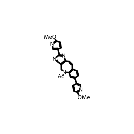 COc1ccc(-c2ccc3c(c2)N(C(C)=O)Cc2cnc(-c4ccc(OC)nc4)nc2C=C3)cn1